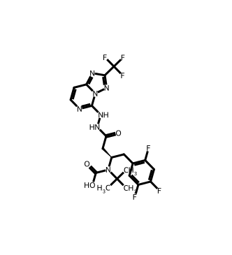 CC(C)(C)N(C(=O)O)[C@@H](CC(=O)NNc1nccc2nc(C(F)(F)F)nn12)Cc1cc(F)c(F)cc1F